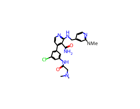 CNc1cc(CNc2nccc(-c3cc(Cl)cc(NC(=O)CN(C)C)c3)c2C(N)=O)ccn1